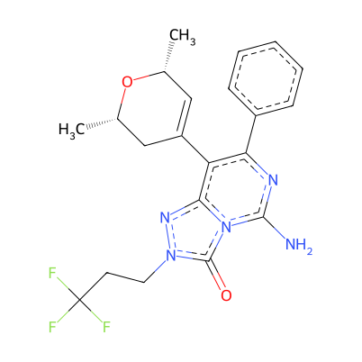 C[C@@H]1C=C(c2c(-c3ccccc3)nc(N)n3c(=O)n(CCC(F)(F)F)nc23)C[C@H](C)O1